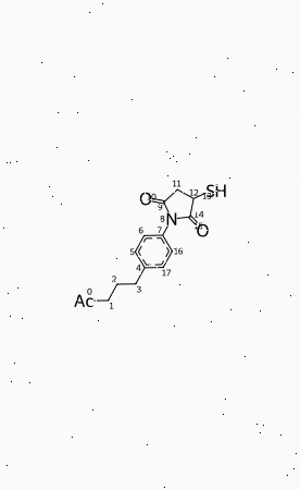 CC(=O)CCCc1ccc(N2C(=O)CC(S)C2=O)cc1